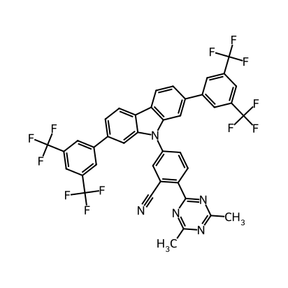 Cc1nc(C)nc(-c2ccc(-n3c4cc(-c5cc(C(F)(F)F)cc(C(F)(F)F)c5)ccc4c4ccc(-c5cc(C(F)(F)F)cc(C(F)(F)F)c5)cc43)cc2C#N)n1